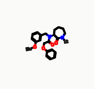 CCC(C)Oc1cccc(CN(C(=O)COc2ccccc2)[C@H]2CCCCN(CC)C2=O)c1